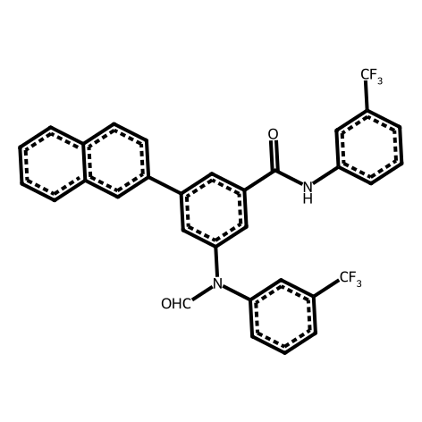 O=CN(c1cc(C(=O)Nc2cccc(C(F)(F)F)c2)cc(-c2ccc3ccccc3c2)c1)c1cccc(C(F)(F)F)c1